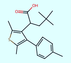 Cc1ccc(-c2c(C)sc(C)c2C(CC(C)(C)C)C(=O)O)cc1